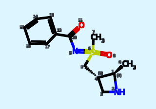 C[C@H]1NC[C@@H]1CS(C)(=O)=NC(=O)c1ccccc1